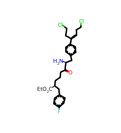 CCOC(=O)[C@@H](CCCC(=O)[C@@H](N)Cc1ccc(/C(=C/CCCl)CCCl)cc1)Cc1ccc(F)cc1